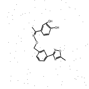 CC(=NOCc1cccc(-c2noc(C)n2)c1)c1ccc(O)c(O)c1